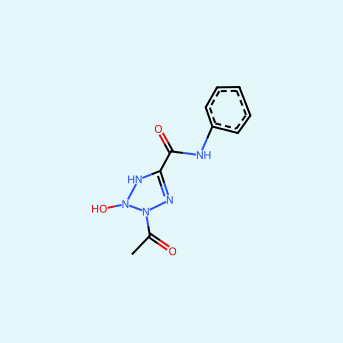 CC(=O)N1N=C(C(=O)Nc2ccccc2)NN1O